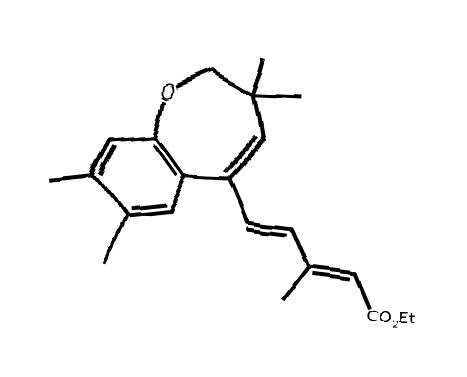 CCOC(=O)/C=C(C)/C=C/C1=CC(C)(C)COc2cc(C)c(C)cc21